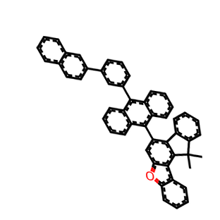 CC1(C)c2ccccc2-c2c(-c3c4ccccc4c(-c4cccc(-c5ccc6ccccc6c5)c4)c4ccccc34)cc3oc4ccccc4c3c21